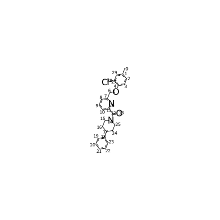 Cc1ccc(OCc2cccc(C(=O)N3CCC(c4ccccc4)CC3)n2)c(Cl)c1